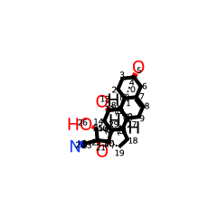 C[C@]12CCC(=O)CC1=CC[C@@H]1[C@@H]2C(=O)C[C@@]2(C)[C@H]1CC[C@@]21OC1(C#N)CO